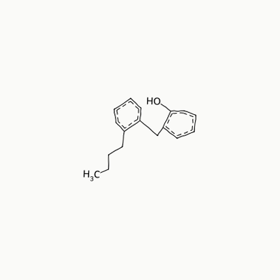 CCCCc1ccccc1Cc1ccccc1O